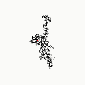 CC[C@H](C)[C@@H]([C@@H](CC(=O)N1CCC[C@H]1[C@H](OC)[C@@H](C)C(=O)N[C@H](CO)Cc1ccccc1)OC)N(C)C(=O)[C@@H](NC(=O)[C@@H]1[C@H]2CC[C@H](C2)N1C(=O)CCOCCOCCOCCN1C(=O)C=CC1=O)C(C)C